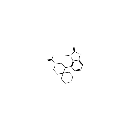 Cn1c(=O)[nH]c2cccc(C3CN(C(=O)O)CCC34CCNCC4)c21